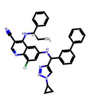 CC[C@@H](Nc1c(C#N)cnc2c(Cl)cc(NC(c3cccc(-c4ccccc4)c3)c3cn(C4CC4)nn3)cc12)c1ccccc1